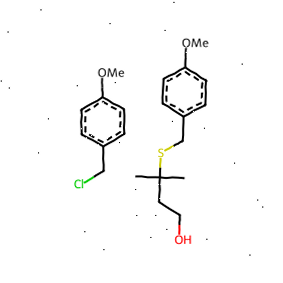 COc1ccc(CCl)cc1.COc1ccc(CSC(C)(C)CCO)cc1